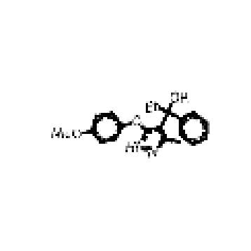 CCC(O)(c1ccccc1)c1c(C)n[nH]c1Oc1ccc(OC)cc1